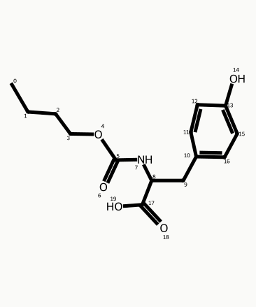 CCCCOC(=O)NC(Cc1ccc(O)cc1)C(=O)O